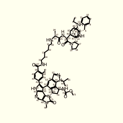 CCNC(=O)[C@H](Cc1ccccc1)NC(=O)[C@@H]1CCCN1C(=O)[C@@H](NC(=O)[C@H](C)NCCCCCCNC(=O)c1ccc(-c2[nH]c3ncc4c(c3c2-c2ccc3c(cnn3C(C)C)c2)n([C@@H]2CC[C@@H](NC(=O)OC)C2)c(=O)n4C)cc1F)C1CCCCC1